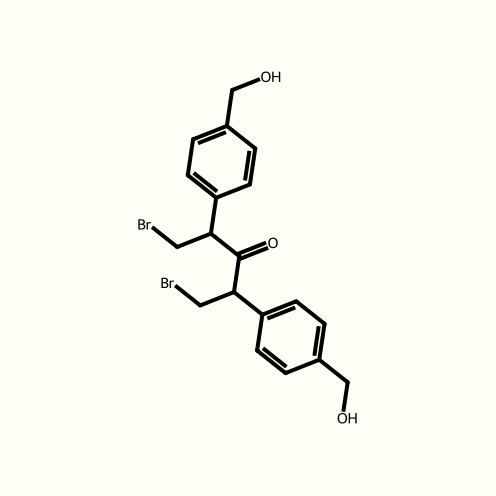 O=C(C(CBr)c1ccc(CO)cc1)C(CBr)c1ccc(CO)cc1